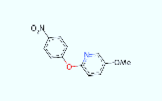 COc1ccc(Oc2ccc([N+](=O)[O-])cc2)nc1